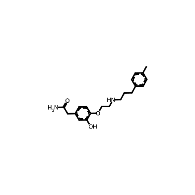 Cc1ccc(CCCNCCOc2ccc(CC(N)=O)cc2O)cc1